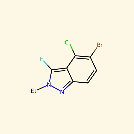 CCn1nc2ccc(Br)c(Cl)c2c1F